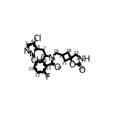 Cn1ncc(Cl)c1CC1c2cccc(F)c2C(=O)N1CC1CC2(CNC(=O)O2)C1